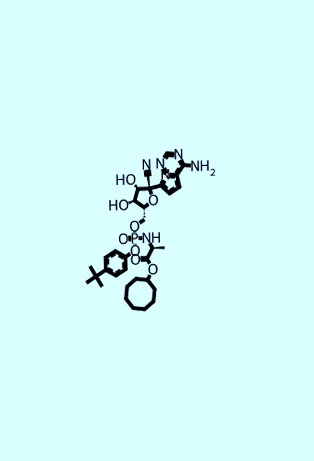 C[C@H](NP(=O)(OC[C@H]1O[C@@](C#N)(c2ccc3c(N)ncnn23)[C@H](O)[C@@H]1O)Oc1ccc(C(C)(C)C)cc1)C(=O)OC1CCCCCCC1